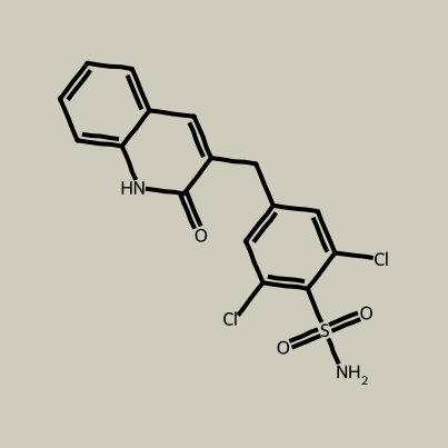 NS(=O)(=O)c1c(Cl)cc(Cc2cc3ccccc3[nH]c2=O)cc1Cl